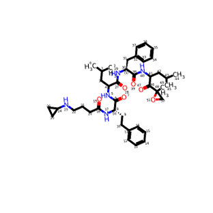 CC(C)CC(NC(=O)[C@H](CCc1ccccc1)NC(=O)CCCNC1CC1)C(=O)N[C@@H](Cc1ccccc1)C(=O)NC(CC(C)C)C(=O)C1(C)CO1